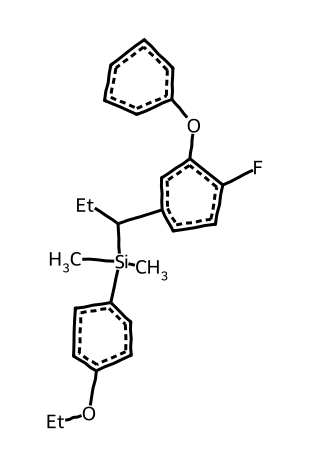 CCOc1ccc([Si](C)(C)C(CC)c2ccc(F)c(Oc3ccccc3)c2)cc1